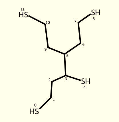 SCCC(S)C(CCS)CCS